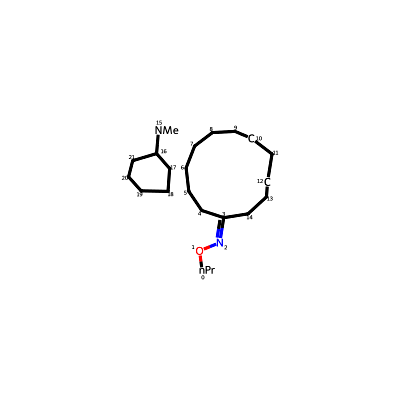 CCCON=C1CCCCCCCCCCC1.CNC1CCCCC1